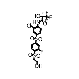 C[C@@](O)(C(=O)Nc1ccc(S(=O)(=O)c2ccc(S(=O)(=O)CCO)c(F)c2)cc1Cl)C(F)(F)F